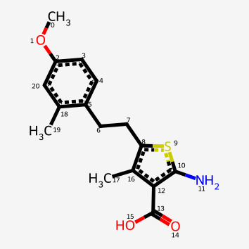 COc1ccc(CCc2sc(N)c(C(=O)O)c2C)c(C)c1